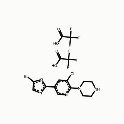 CCc1cnc(-c2cnc(N3CCNCC3)c(Cl)c2)o1.O=C(O)C(F)(F)F.O=C(O)C(F)(F)F